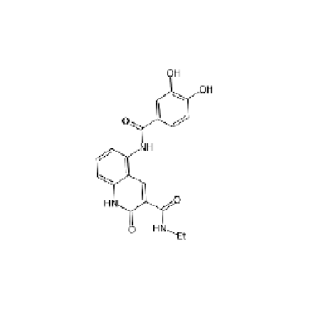 CCNC(=O)c1cc2c(NC(=O)c3ccc(O)c(O)c3)cccc2[nH]c1=O